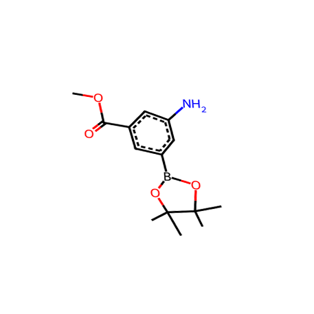 COC(=O)c1cc(N)cc(B2OC(C)(C)C(C)(C)O2)c1